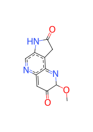 COC1N=c2c3c(cnc2=CC1=O)NC(=O)C3